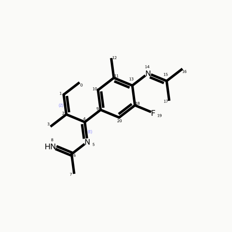 C/C=C(C)\C(=N/C(C)=N)c1cc(C)c(N=C(C)C)c(F)c1